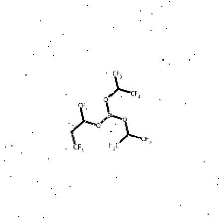 FC(F)(F)CC(OB(OC(C(F)(F)F)C(F)(F)F)OC(C(F)(F)F)C(F)(F)F)C(F)(F)F